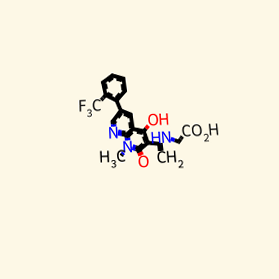 C=C(NCC(=O)O)c1c(O)c2cc(-c3ccccc3C(F)(F)F)cnc2n(C)c1=O